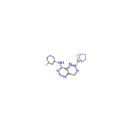 Cc1cccc(Nc2ncnc3cnc(N4CC5CCC4C5)nc23)c1